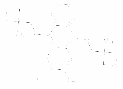 Cc1cc2c(OCC3(C)COC3)c3ccccc3c(OCC3(C)COC3)c2cc1C